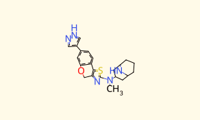 CN(c1nc2c(s1)-c1ccc(-c3cn[nH]c3)cc1OC2)C1CC2CCCC(C1)N2